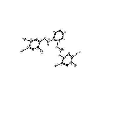 Fc1cc(Br)c(CNCc2ccccc2NCc2cc(F)c(F)cc2Br)cc1F